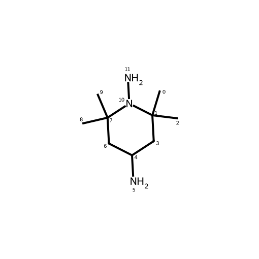 CC1(C)CC(N)CC(C)(C)N1N